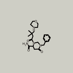 C1COCCN1.CC(C)(C)CC(=O)N1CN(Cc2ccccc2)C(=O)CC1C(N)=O